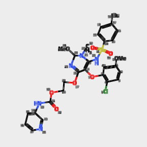 COc1ccc(Cl)c(OC2=C(NS(=O)(=O)c3ccc(C(C)(C)C)cc3)N(C)C(OC)N=C2OCCOC(=O)Nc2cccnc2)c1